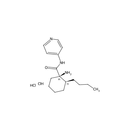 CCCC[C@H]1CCCC[C@]1(N)C(=O)Nc1ccncc1.Cl.Cl